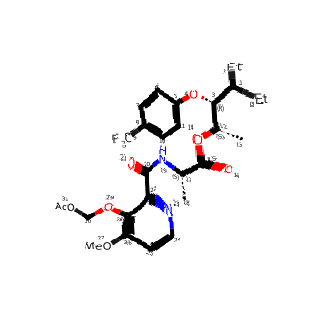 CCC(CC)[C@@H](Oc1ccc(C(F)(F)F)cc1)[C@H](C)OC(=O)[C@H](C)NC(=O)c1nccc(OC)c1OCOC(C)=O